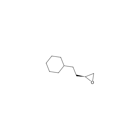 C1CCC(CC[C@H]2CO2)CC1